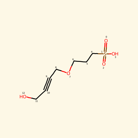 O=S(=O)(O)CCCOCC#CCO